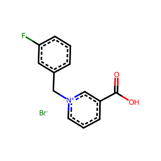 O=C(O)c1ccc[n+](Cc2cccc(F)c2)c1.[Br-]